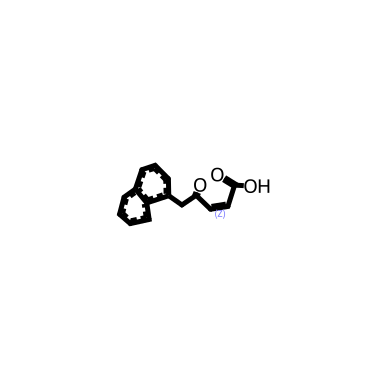 O=C(O)/C=C\C(=O)Cc1cccc2ccccc12